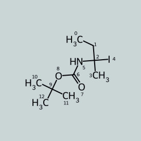 CCC(C)(I)NC(=O)OC(C)(C)C